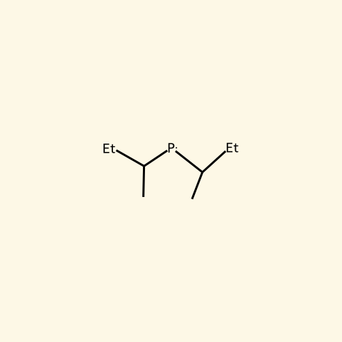 CCC(C)[P]C(C)CC